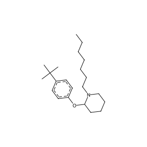 CCCCCCCN1CCCCC1Oc1ccc(C(C)(C)C)cc1